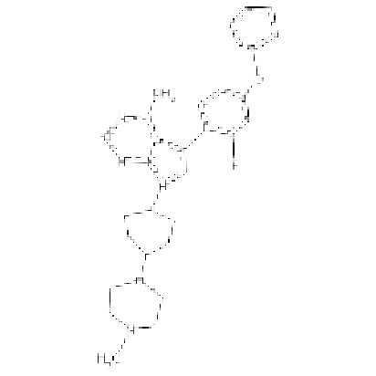 CN1CCN(C2CCC(n3cc(-c4ccc(Oc5ccccc5)cc4F)c4c(N)ncnc43)CC2)CC1